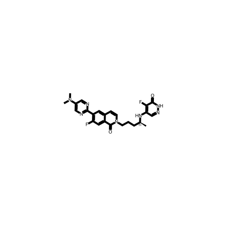 C[C@@H](CCCn1ccc2cc(-c3ncc(N(C)C)cn3)c(F)cc2c1=O)Nc1cn[nH]c(=O)c1F